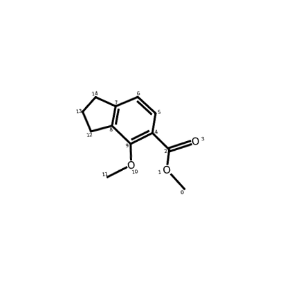 COC(=O)c1ccc2c(c1OC)CCC2